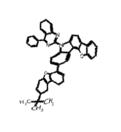 CC(C)(C)C1C=Cc2oc3c(c2C1)CCC=C3c1ccc2c(c1)c1c3oc4ccccc4c3ccc1n2-c1nc(-c2ccccc2)c2c(n1)=CCCC=2